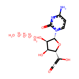 Nc1ccn([C@@H]2O[C@H](C(O)=C=O)[C@@H](O)[C@H]2O)c(=O)n1.O.O.O.O.O